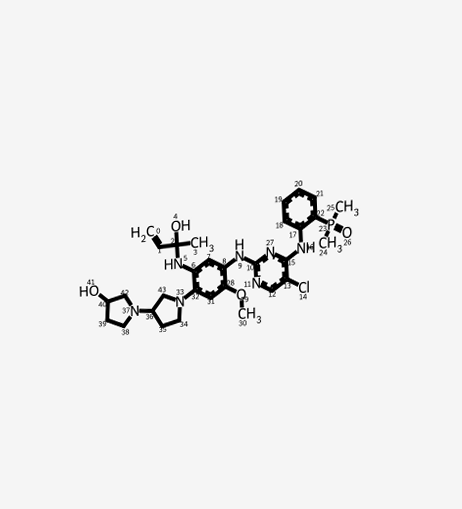 C=CC(C)(O)Nc1cc(Nc2ncc(Cl)c(Nc3ccccc3P(C)(C)=O)n2)c(OC)cc1N1CCC(N2CCC(O)C2)C1